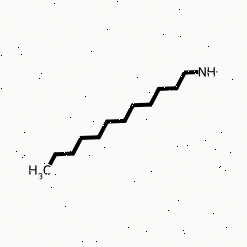 CCCCCCCCCCCC[NH]